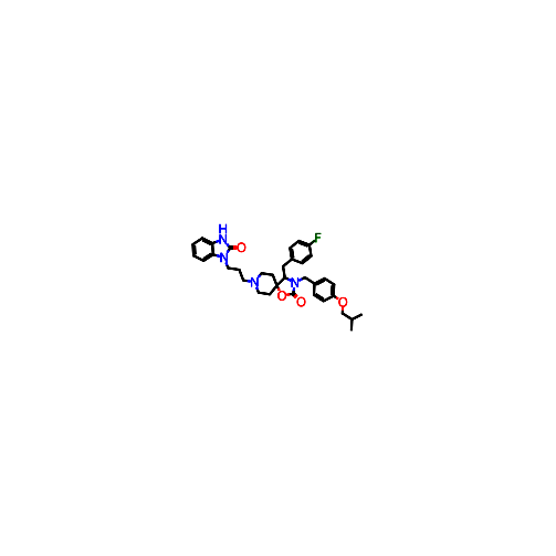 CC(C)COc1ccc(CN2C(=O)OC3(CCN(CCCn4c(=O)[nH]c5ccccc54)CC3)C2Cc2ccc(F)cc2)cc1